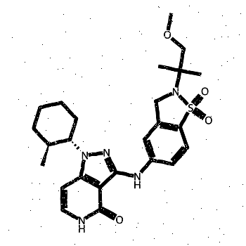 COCC(C)(C)N1Cc2cc(Nc3nn([C@H]4CCCC[C@@H]4C)c4cc[nH]c(=O)c34)ccc2S1(=O)=O